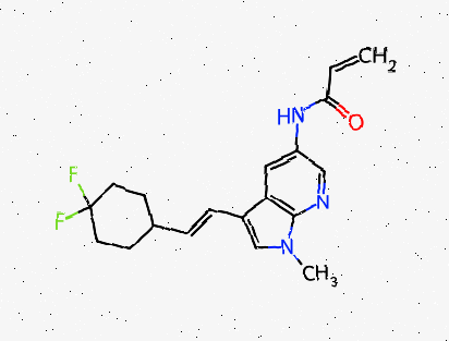 C=CC(=O)Nc1cnc2c(c1)c(/C=C/C1CCC(F)(F)CC1)cn2C